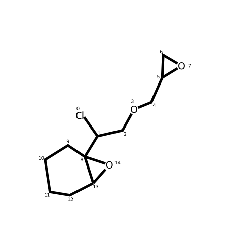 ClC(COCC1CO1)C12CCCCC1O2